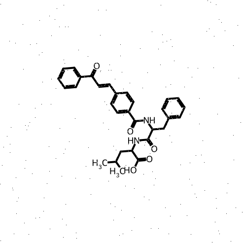 CC(C)CC(NC(=O)C(Cc1ccccc1)NC(=O)c1ccc(/C=C/C(=O)c2ccccc2)cc1)C(=O)O